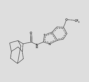 O=C(Nc1nc2ccc(OC(F)(F)F)cc2s1)C1C2CC3CC(C2)CC1C3